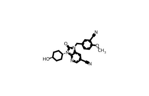 COc1ccc(Cn2c(=O)n([C@H]3CC[C@H](O)CC3)c3ncc(C#N)cc32)cc1C#N